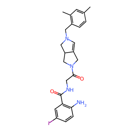 Cc1ccc(CN2C=C3CN(C(=O)CNC(=O)c4cc(I)ccc4N)CC3C2)c(C)c1